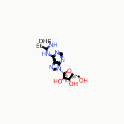 CCC(NC=O)Nc1ncnc2c1ncn2[C@@H]1O[C@H](CO)[C@@H](O)[C@H]1O